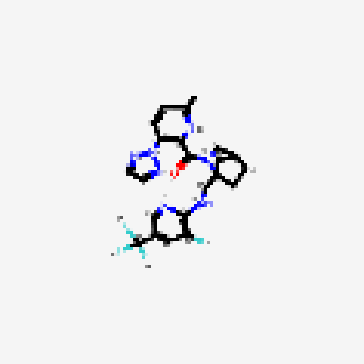 Cc1ccc(-n2nccn2)c(C(=O)N2CC3CCC2(CNc2ncc(C(F)(F)F)cc2F)C3)n1